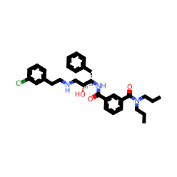 CCCN(CCC)C(=O)c1cccc(C(=O)N[C@@H](Cc2ccccc2)[C@H](O)CNCCc2cccc(Cl)c2)c1